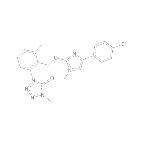 Cc1cccc(-n2nnn(C)c2=O)c1COc1nc(-c2ccc(Cl)cc2)cn1C